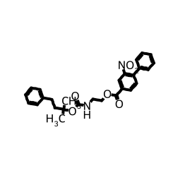 CC(C)(CCc1ccccc1)OC(=O)NCCOC(=O)c1ccc(-c2ccccc2)c([N+](=O)[O-])c1